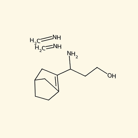 C=N.C=N.NC(CCO)C1=C2CCC(C2)C1